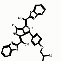 CCCCC(CC)COc1ccc(-c2[nH]/c(=C(/C#N)c3nc4ccccc4s3)c3c(C(C)C)[nH]/c(=C(/C#N)c4nc5ccccc5s4)c23)cc1